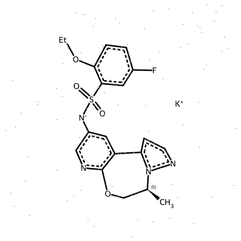 CCOc1ccc(F)cc1S(=O)(=O)[N-]c1cnc2c(c1)-c1ccnn1[C@@H](C)CO2.[K+]